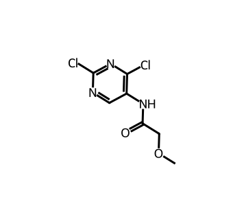 COCC(=O)Nc1cnc(Cl)nc1Cl